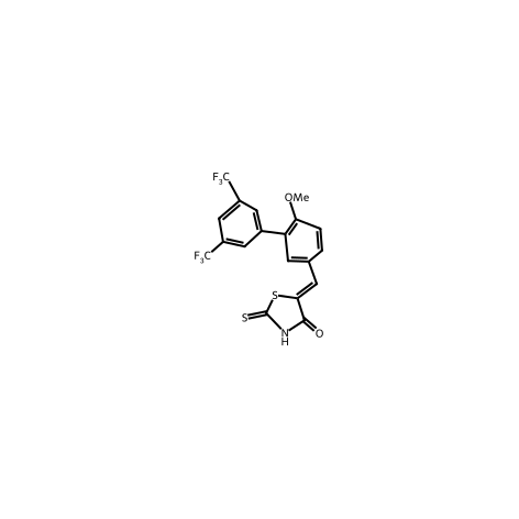 COc1ccc(/C=C2\SC(=S)NC2=O)cc1-c1cc(C(F)(F)F)cc(C(F)(F)F)c1